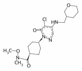 CON(C)C(=O)[C@H]1CC[C@@H](n2ncc(NCC3CCCOC3)c(Cl)c2=O)CC1